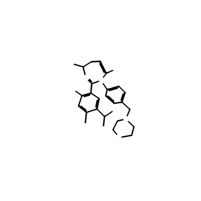 Cc1cc(O)c(C2=NC(C)CC=C(O)N2c2ccc(CN3CCNCC3)cc2)cc1C(C)C